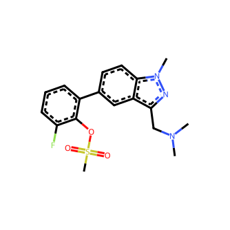 CN(C)Cc1nn(C)c2ccc(-c3cccc(F)c3OS(C)(=O)=O)cc12